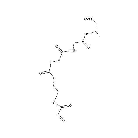 C=CC(=O)OCCOC(=O)CCC(=O)NCC(=O)OC(C)COC